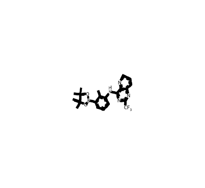 Cc1c(Nc2nc(C(F)(F)F)nc3cccnc23)cccc1B1OC(C)(C)C(C)(C)O1